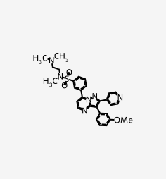 COc1cccc(-c2c(-c3ccncc3)nn3c(-c4cccc(S(=O)(=O)N(C)CCN(C)C)c4)ccnc23)c1